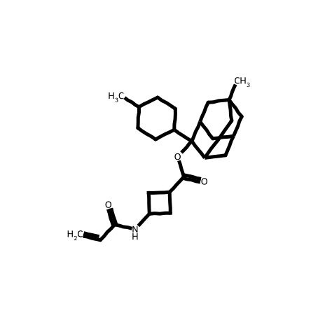 C=CC(=O)NC1CC(C(=O)OC2(C3CCC(C)CC3)C3CC4CC2CC(C)(C4)C3)C1